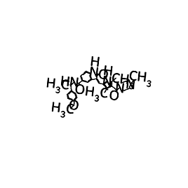 CCN1CCN(C(=O)c2c(C)[nH]c(/C=C3\C(=O)Nc4ccc(C(=O)N[C@@H](C)c5ccc(OC)cc5)cc43)c2C)CC1